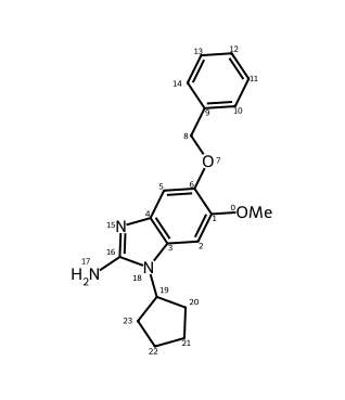 COc1cc2c(cc1OCc1ccccc1)nc(N)n2C1CCCC1